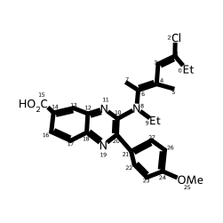 CC/C(Cl)=C\C(C)=C(/C)N(CC)c1nc2cc(C(=O)O)ccc2nc1-c1ccc(OC)cc1